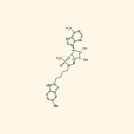 CC(C)(C)c1ccc2[nH]c(CCCCN(C[C@H]3O[C@@H](n4cnc5c(N)ncnc54)[C@H](O)[C@@H]3O)S(C)(=O)=O)nc2c1